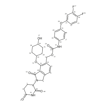 O=C1CCC(N2Cc3ccc(COC(=O)Nc4ccc(Oc5ccc(F)c(F)c5)cc4)c(OC4CCC(O)CC4)c3C2=O)C(=O)N1